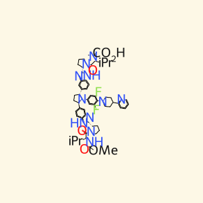 COC(=O)N[C@H](C(=O)N1CCC[C@H]1c1nc2cc([C@H]3CC[C@H](c4ccc5[nH]c([C@@H]6CCCN6C(=O)[C@H](C(C)C)N(C)C(=O)O)nc5c4)N3c3cc(F)c(N4CCC(c5ccccn5)CC4)c(F)c3)ccc2[nH]1)C(C)C